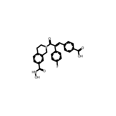 O=C(O)c1ccc(/C=C(/C(=O)N2CCc3ccc(C(=O)NO)cc3C2)c2ccc(F)cc2)cc1